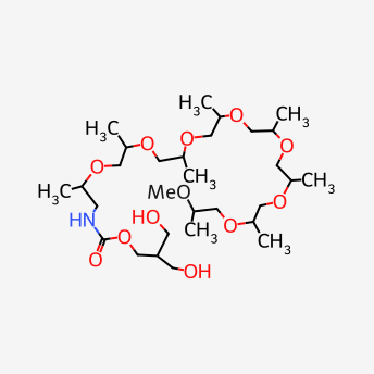 COC(C)COC(C)COC(C)COC(C)COC(C)COC(C)COC(C)COC(C)CNC(=O)OCC(CO)CO